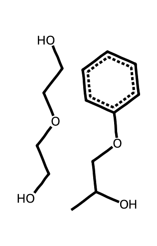 CC(O)COc1ccccc1.OCCOCCO